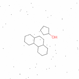 C1CCC2C(C1)CCC1CCCCC12.OC1CCCC1